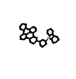 c1cc(-c2ccc3c(c2)c2cccc4c5ccccc5c5cccc3c5c42)cc(-n2c3ccccc3c3ccccc32)c1